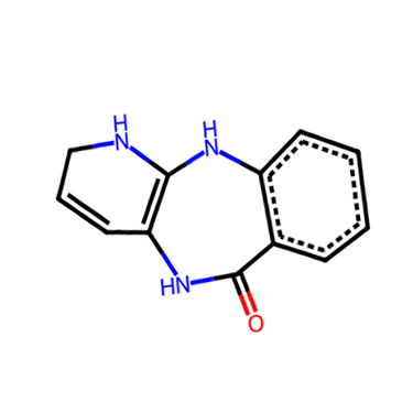 O=C1NC2=C(NCC=C2)Nc2ccccc21